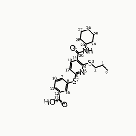 CCCSc1nc(Sc2cccc(C(=O)O)c2)ccc1C(=O)NC1CCCCC1